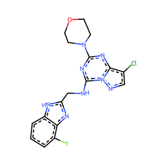 Fc1cccc2[nH]c(CNc3nc(N4CCOCC4)nc4c(Cl)cnn34)nc12